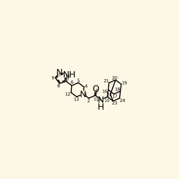 O=C(CN1CCC(c2ccn[nH]2)CC1)NC1C2CC3CC(C2)CC1C3